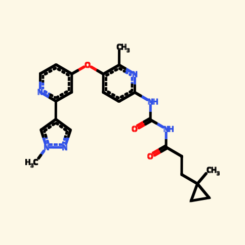 Cc1nc(NC(=O)NC(=O)CCC2(C)CC2)ccc1Oc1ccnc(-c2cnn(C)c2)c1